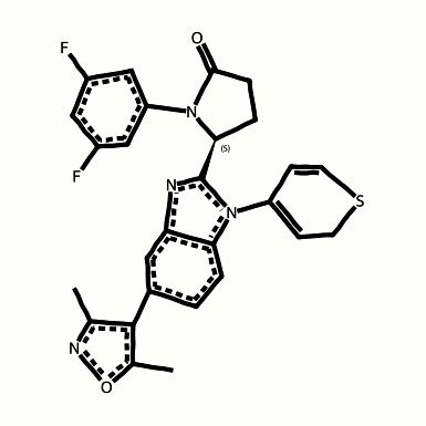 Cc1noc(C)c1-c1ccc2c(c1)nc([C@@H]1CCC(=O)N1c1cc(F)cc(F)c1)n2C1=CCSC=C1